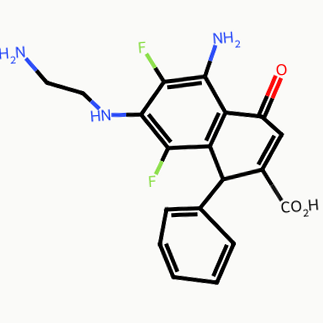 NCCNc1c(F)c(N)c2c(c1F)C(c1ccccc1)C(C(=O)O)=CC2=O